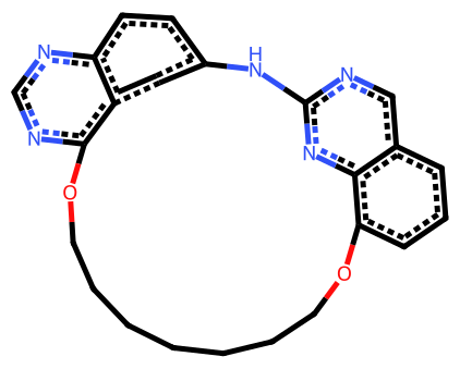 c1cc2c3nc(ncc3c1)Nc1ccc3ncnc(c3c1)OCCCCCCCO2